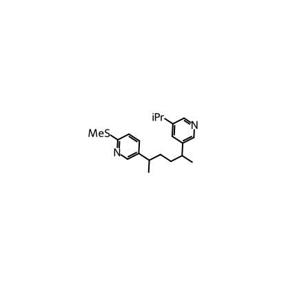 CSc1ccc(C(C)CCC(C)c2cncc(C(C)C)c2)cn1